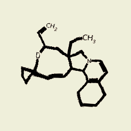 C=CC1CC2(CC)CN3C=CC4=C(CCCC4)C3C2/C=C\C2(CC2)O1